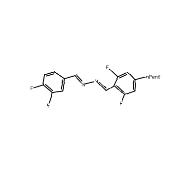 CCCCCc1cc(F)c(C=NN=Cc2ccc(F)c(F)c2)c(F)c1